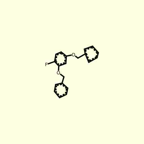 Fc1ccc(OCc2ccccc2)cc1OCc1ccccc1